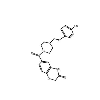 N#Cc1ccc(OCC2CCN(C(=O)c3ccc4c(c3)NC(=O)CO4)CC2)cc1